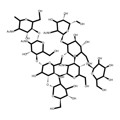 CC(=O)NC1C(O)[C@H](O)[C@H](CO)O[C@H]1OC1[C@@H](OCC2O[C@@H](O[C@@H]3C(CO)O[C@@H](O[C@@H]4C(CO)OC(C)C(NC(C)=O)[C@H]4O)C(NC(C)=O)[C@H]3O)C(O)[C@@H](O[C@H]3O[C@H](CO)[C@@H](O)C(O)C3O[C@@H]3OC(CO)[C@@H](O[C@@H]4OC(CO)[C@H](O)[C@H](O)C4O)[C@H](O)C3NC(C)=O)[C@@H]2O)OC(CO)[C@@H](O)[C@@H]1O